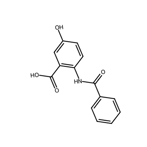 O=C(Nc1ccc(O)cc1C(=O)O)c1ccccc1